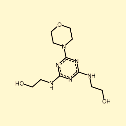 OCCNc1nc(NCCO)nc(N2CCOCC2)n1